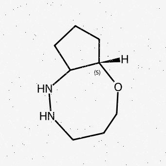 C1CNNC2CCC[C@@H]2OC1